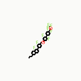 CCCc1ccc2c(F)c(-c3ccc(COc4cc(F)c(-c5ccc(C(F)(F)OC(F)(F)F)cc5)c(F)c4)c(F)c3)ccc2c1